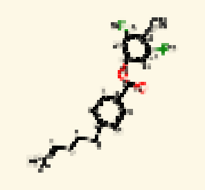 C=CCCCc1ccc(C(=O)Oc2cc(F)c(C#N)c(F)c2)cc1